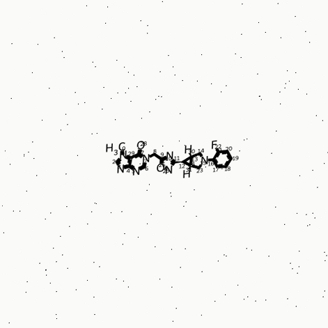 Cn1cnc2ncn(Cc3nc([C@H]4[C@@H]5CN(c6ccccc6F)C[C@@H]54)no3)c(=O)c21